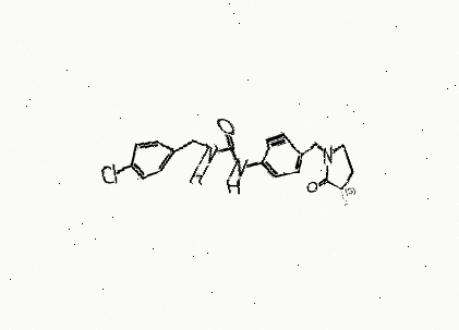 C[C@H]1CCN(Cc2ccc(NC(=O)NCc3ccc(Cl)cc3)cc2)C1=O